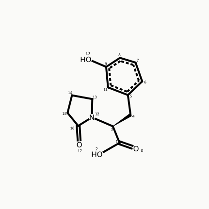 O=C(O)[C@H](Cc1cccc(O)c1)N1CCCC1=O